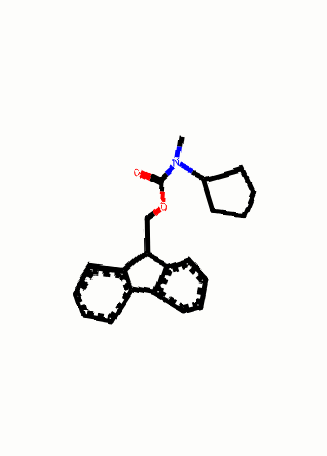 CN(C(=O)OCC1c2ccccc2-c2ccccc21)C1CCCC1